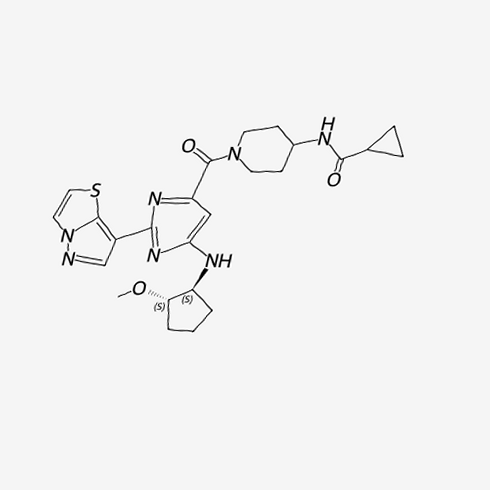 CO[C@H]1CCC[C@@H]1Nc1cc(C(=O)N2CCC(NC(=O)C3CC3)CC2)nc(-c2cnn3ccsc23)n1